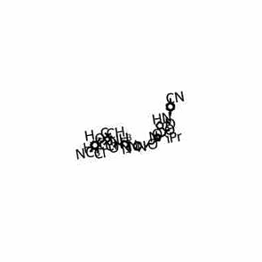 CC(C)[C@H](C(=O)C1CCC[C@H]1C(=O)NCc1ccc(C#N)cc1)c1cc(OCCN2CCN(c3ccc(C(=O)N[C@H]4C(C)(C)[C@H](Oc5ccc(C#N)c(Cl)c5)C4(C)C)cn3)CC2)no1